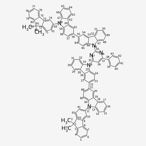 CC1(C)c2ccccc2-c2cc(-n3c4ccccc4c4cc(-c5ccc6c(c5)c5ccccc5n6-c5cc(-c6ccccc6)nc(-n6c7ccccc7c7cc(-c8ccc9c(c8)c8ccccc8n9-c8ccc9c(c8)-c8ccccc8C9(C)C)ccc76)n5)ccc43)ccc21